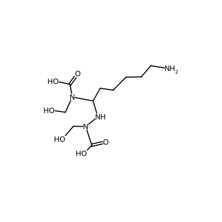 NCCCCCC(NN(CO)C(=O)O)N(CO)C(=O)O